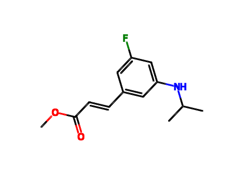 COC(=O)/C=C/c1cc(F)cc(NC(C)C)c1